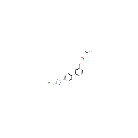 BC(O)(O)OC1CN(c2ncc(-c3cccc(COC(=O)NC(=N)N)c3F)cc2F)C1